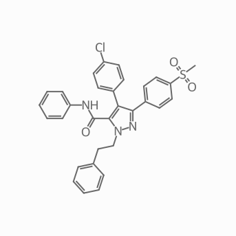 CS(=O)(=O)c1ccc(-c2nn(CCc3ccccc3)c(C(=O)Nc3ccccc3)c2-c2ccc(Cl)cc2)cc1